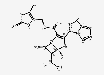 Cc1oc(=O)oc1COC(=O)C1=C(c2csc3cncn23)C[C@@H]2[C@@H]([C@@H](C)O)C(=O)N12